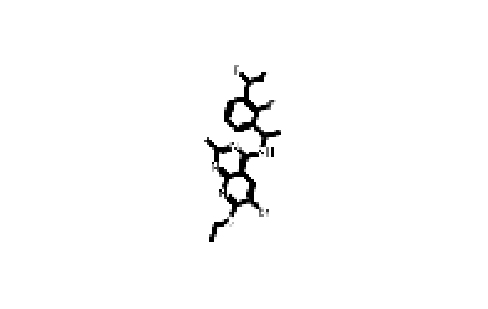 CCOc1nc2nc(C)nc(NC(C)c3cccc(C(F)F)c3F)c2cc1Br